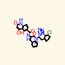 O=C(NC(Cc1ccccc1)C(=O)NC(Cc1cccc(Cl)c1)n1cnnn1)c1ccc2[nH]c(=O)cc(O)c2c1